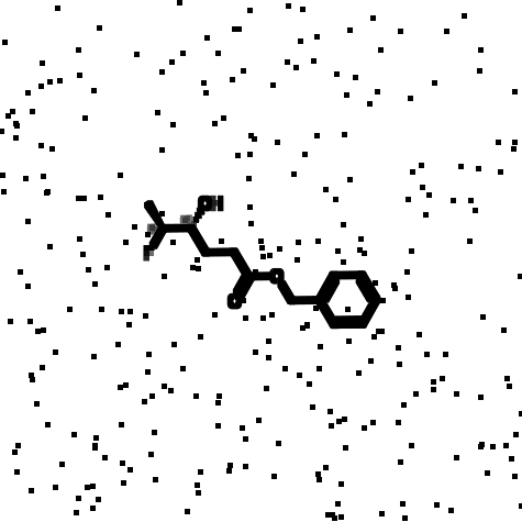 C[C@H](F)[C@H](O)CCC(=O)OCc1ccccc1